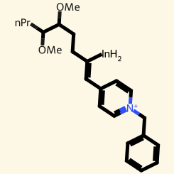 CCCC(OC)C(CC[C]([InH2])=Cc1cc[n+](Cc2ccccc2)cc1)OC